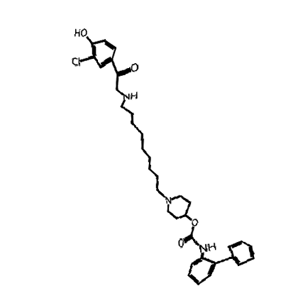 O=C(Nc1ccccc1-c1ccccc1)OC1CCN(CCCCCCCCCNCC(=O)c2ccc(O)c(Cl)c2)CC1